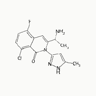 Cc1cc(-n2c(C(C)N)cc3c(F)ccc(Cl)c3c2=O)n[nH]1